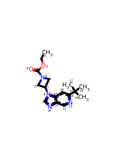 CCOC(=O)N1CC(n2cnc3cnc(C(C)(C)C)cc32)C1